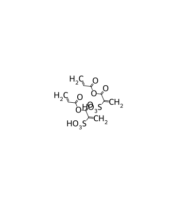 C=CC(=O)OC(=O)C(=C)S(=O)(=O)O.C=CC(=O)OC(=O)C(=C)S(=O)(=O)O